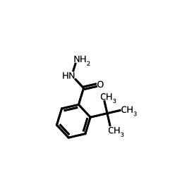 CC(C)(C)c1ccccc1C(=O)NN